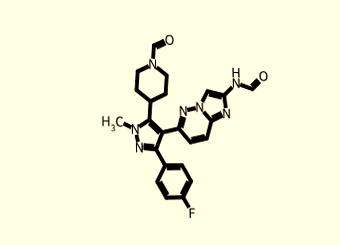 Cn1nc(-c2ccc(F)cc2)c(-c2ccc3nc(NC=O)cn3n2)c1C1CCN(C=O)CC1